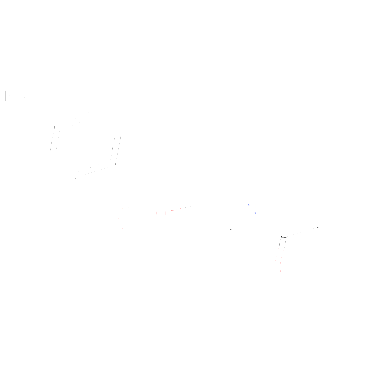 C=CC(=O)NCCOS(=O)(=O)c1ccc(C)cc1